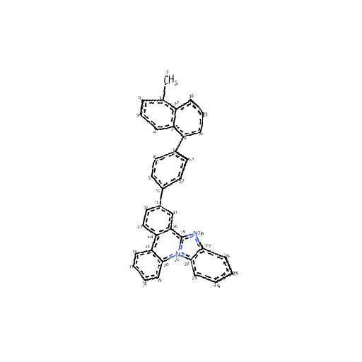 Cc1cccc2c(-c3ccc(-c4ccc5c6ccccc6n6c7ccccc7nc6c5c4)cc3)cccc12